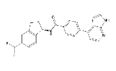 O=C(N[C@@H]1CCc2cc(C(F)F)ccc21)c1ccc(-c2ccnc3[nH]ccc23)cc1